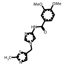 COc1ccc(C(=O)Nc2cn(Cc3cnc(C)s3)cn2)cc1OC